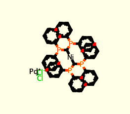 [Cl-].[Cl][Pd+].c1ccc(P(c2ccccc2)[CH]([Ni][CH](P(c2ccccc2)c2ccccc2)P(c2ccccc2)c2ccccc2)P(c2ccccc2)c2ccccc2)cc1